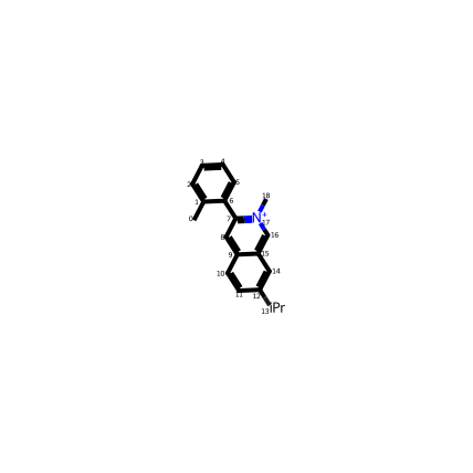 Cc1ccccc1-c1cc2ccc(C(C)C)cc2c[n+]1C